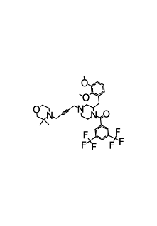 COc1cccc(CC2CN(CC#CCN3CCOCC3(C)C)CCN2C(=O)c2cc(C(F)(F)F)cc(C(F)(F)F)c2)c1OC